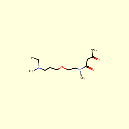 CNC(=O)CC(=O)N(C)CCOCCCN(C)CC(C)C